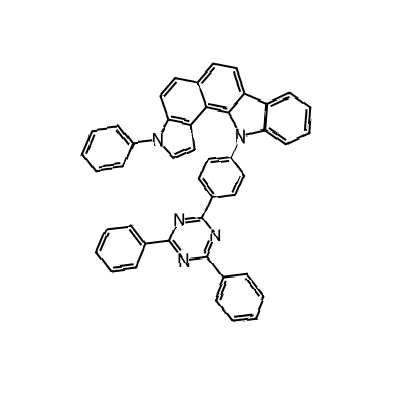 c1ccc(-c2nc(-c3ccccc3)nc(-c3ccc(-n4c5ccccc5c5ccc6ccc7c(ccn7-c7ccccc7)c6c54)cc3)n2)cc1